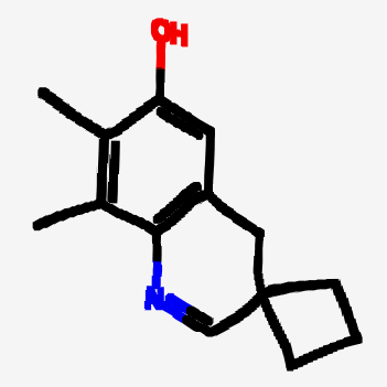 Cc1c(O)cc2c(c1C)N=CC1(CCC1)C2